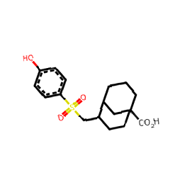 O=C(O)C12CCCC(C1)C(CS(=O)(=O)c1ccc(O)cc1)CC2